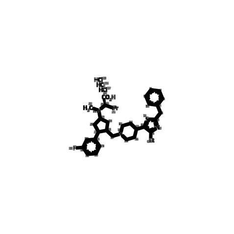 CCc1nc(Cc2ccccc2)sc1C1CCN(CC2CC(N(C)[C@@H](C(=O)O)C(C)C)CC2c2cccc(F)c2)CC1.Cl.Cl.Cl